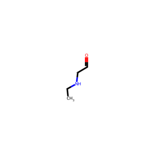 CCN[CH]C=O